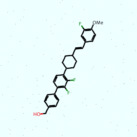 COc1ccc(/C=C/C2CCC(c3ccc(-c4ccc(CO)cc4)c(F)c3F)CC2)cc1F